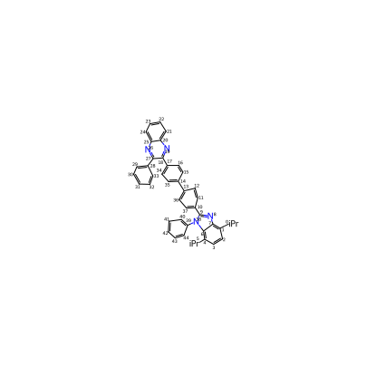 CC(C)c1ccc(C(C)C)c2c1nc(-c1ccc(-c3ccc(-c4nc5ccccc5nc4-c4ccccc4)cc3)cc1)n2-c1ccccc1